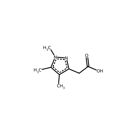 Cc1c(CC(=O)O)nn(C)c1C